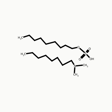 CCCCCCCCCOS(=O)(=O)O.CCCCCCCCN(C)C